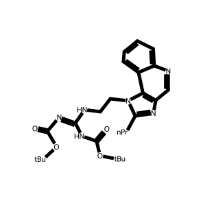 CCCc1nc2cnc3ccccc3c2n1CCNC(=NC(=O)OC(C)(C)C)NC(=O)OC(C)(C)C